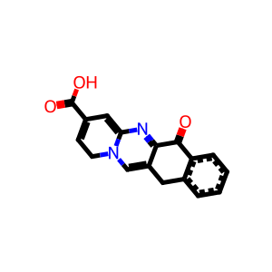 O=C(O)C1=CCN2C=C3Cc4ccccc4C(=O)C3=NC2=C1